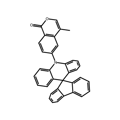 Cc1coc(=O)c2ccc(N3c4ccccc4C4(c5ccccc5-c5ccccc54)c4ccccc43)cc12